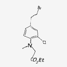 CCOC(=O)CN(C)c1ccc(CCBr)cc1Cl